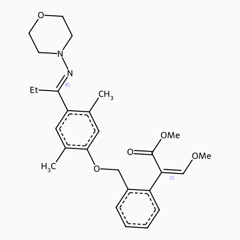 CC/C(=N\N1CCOCC1)c1cc(C)c(OCc2ccccc2/C(=C/OC)C(=O)OC)cc1C